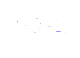 Cc1c[nH]c(-c2ccc(OC(F)(F)F)cc2)n1